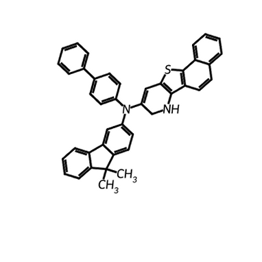 CC1(C)c2ccccc2-c2cc(N(C3=Cc4sc5c(ccc6ccccc65)c4NC3)c3ccc(-c4ccccc4)cc3)ccc21